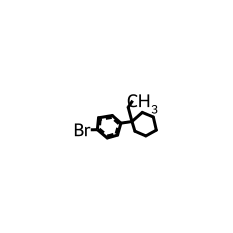 CCC1(c2ccc(Br)cc2)CCCCC1